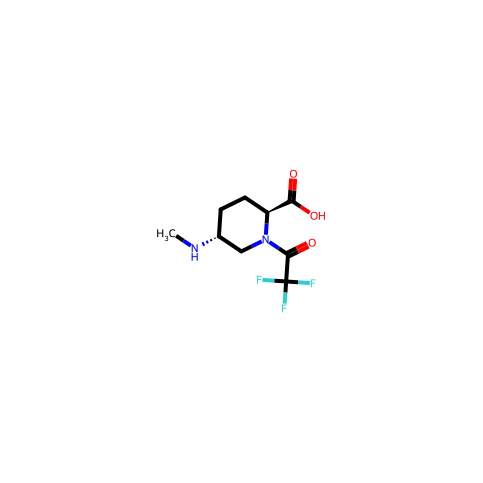 CN[C@@H]1CC[C@@H](C(=O)O)N(C(=O)C(F)(F)F)C1